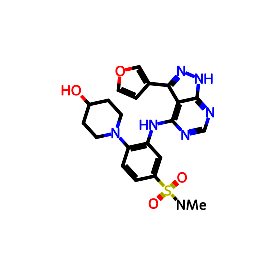 CNS(=O)(=O)c1ccc(N2CCC(O)CC2)c(Nc2ncnc3[nH]nc(-c4ccoc4)c23)c1